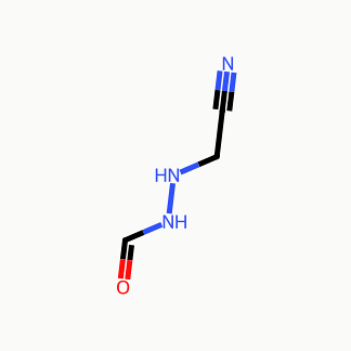 N#CCNNC=O